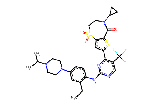 CCc1cc(N2CCN(C(C)C)CC2)ccc1Nc1ncc(C(F)(F)F)c(-c2cc3c(s2)C(=O)N(C2CC2)CCS3(=O)=O)n1